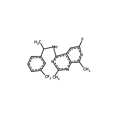 Cc1nc(NC(C)c2cccc(C(F)(F)F)c2)c2cc(F)nc(C)c2n1